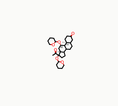 CC(=O)[C@@]1(OC2CCCCO2)CCC2C3CCC4CC(=O)CC[C@]4(C)C3[C@H](OC3CCCCO3)C[C@@]21C